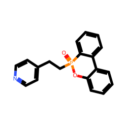 O=P1(CCc2ccncc2)Oc2ccccc2-c2ccccc21